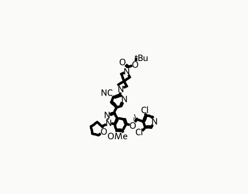 COc1cc2c(cc1O[C@H](C)c1c(Cl)cncc1Cl)c(-c1cnc(N3CC4(CN(C(=O)OC(C)(C)C)C4)C3)c(C#N)c1)nn2C1CCCCO1